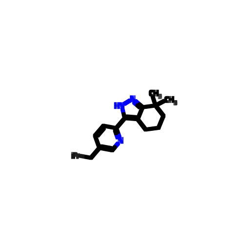 CC(C)Cc1ccc(-c2[nH]nc3c2CCCC3(C)C)nc1